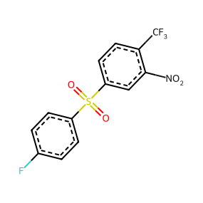 O=[N+]([O-])c1cc(S(=O)(=O)c2ccc(F)cc2)ccc1C(F)(F)F